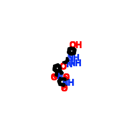 N=N/C(=C\Nc1ccc(O)cc1)COc1cccc2c1CN(C1CCC(=O)NC1=O)C2=O